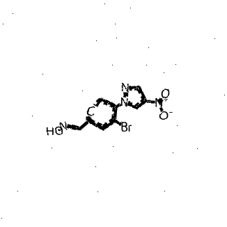 O=[N+]([O-])c1cnn(-c2ccc(/C=N/O)cc2Br)c1